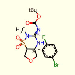 CN1/C(=N\C(=O)OC(C)(C)C)N[C@@]2(c3cc(Br)ccc3F)COCC2S1(=O)=O